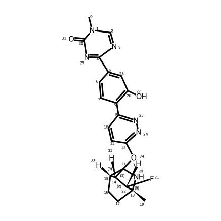 Cn1cnc(-c2ccc(-c3ccc(O[C@H]4[C@@H]5CC[C@@](C)(NC5)[C@H]4F)nn3)c(O)c2)nc1=O